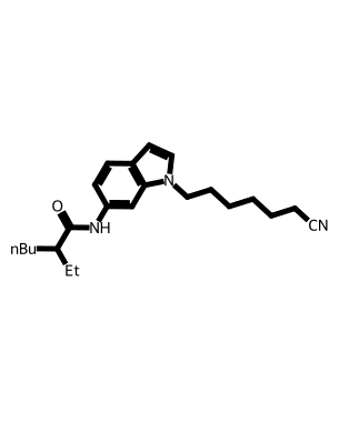 CCCCC(CC)C(=O)Nc1ccc2ccn(CCCCCCC#N)c2c1